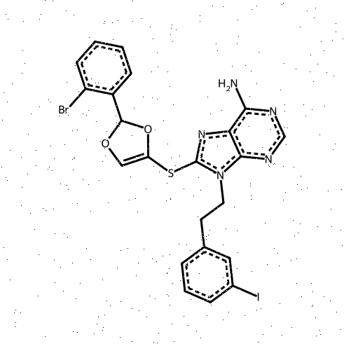 Nc1ncnc2c1nc(SC1=COC(c3ccccc3Br)O1)n2CCc1cccc(I)c1